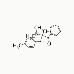 Cc1ccc(CC(C)(C(=O)c2ccccc2)N(C)C)cc1